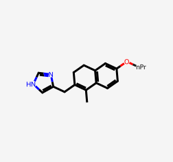 CCCOc1ccc2c(c1)CCC(Cc1c[nH]cn1)=C2C